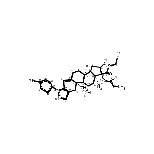 CCC(=O)O[C@]1(C(=O)SCF)[C@H](C)CC2[C@@H]3CCC4=Cc5c(cnn5-c5ccc(F)cc5)C[C@]4(C)C3[C@@H](O)C[C@@]21C